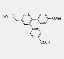 CCCOCc1cnc(-c2ccc(OC)cc2)c(-c2ccc(C(=O)O)cc2)c1